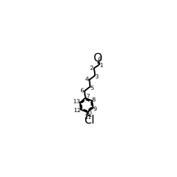 O=CCCCCCc1ccc(Cl)cc1